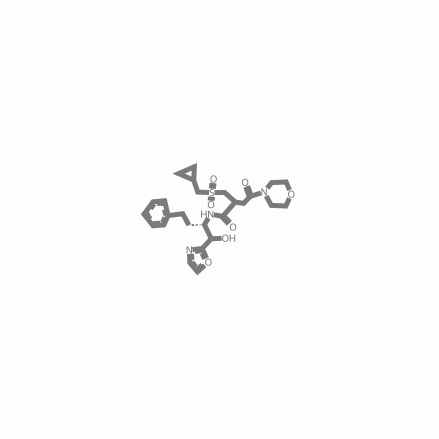 O=C(N[C@@H](CCc1ccccc1)C(O)c1ncco1)C(CC(=O)N1CCOCC1)CS(=O)(=O)CC1CC1